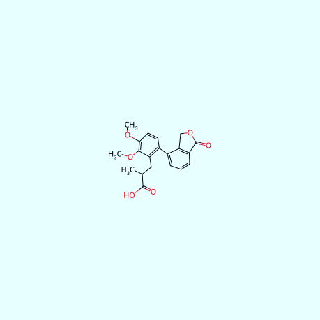 COc1ccc(-c2cccc3c2COC3=O)c(CC(C)C(=O)O)c1OC